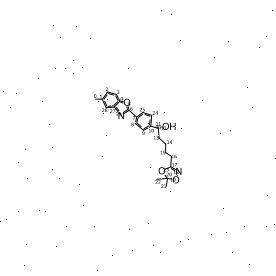 Cc1ccc2oc(-c3ccc([C@H](O)CCCCC4=NOC(C)(C)O4)cc3)nc2c1